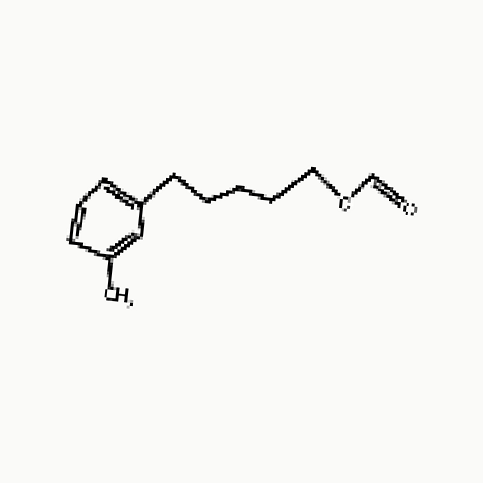 Cc1cccc(CCCCCOC=O)c1